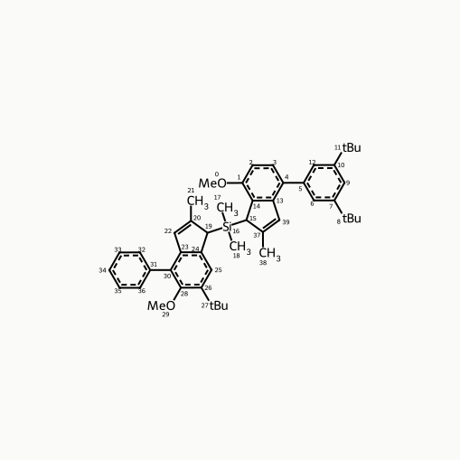 COc1ccc(-c2cc(C(C)(C)C)cc(C(C)(C)C)c2)c2c1C([Si](C)(C)C1C(C)=Cc3c1cc(C(C)(C)C)c(OC)c3-c1ccccc1)C(C)=C2